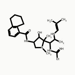 CCC(=N)NC(C(C)NC=C(C)C)C1(C)C(O)C(NC(=O)c2cccc3c2CCCC3)CN1C